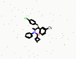 CC([C@@H](Cc1ccc(Cl)cc1)c1cccc(C#N)c1)N(C(=O)C1CCC1)c1ccccc1